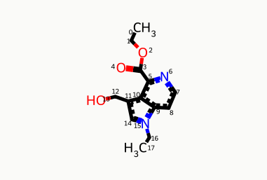 CCOC(=O)c1nccc2c1c(CO)cn2CC